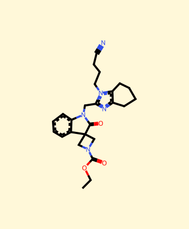 CCOC(=O)N1CC2(C1)C(=O)N(Cc1nc3c(n1CCCC#N)CCCC3)c1ccccc12